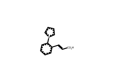 O=C(O)/C=C/c1ccccc1-n1cccc1